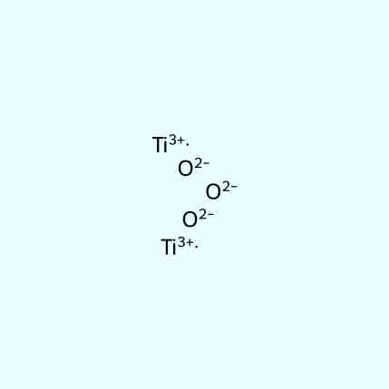 [O-2].[O-2].[O-2].[Ti+3].[Ti+3]